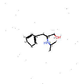 CC(C)NC(CO)CC1=CCCC=C1